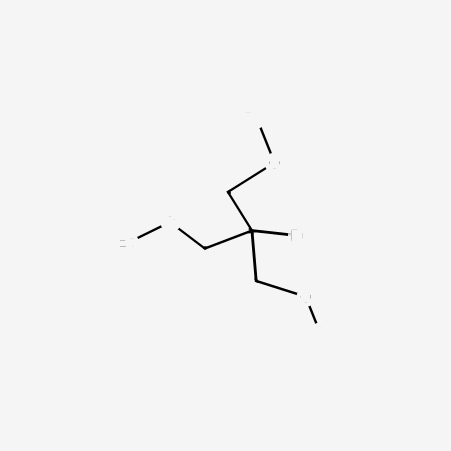 CCOCC(CC)(COCC)COCC